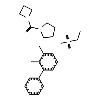 CCS(=O)(=O)N[C@H]1CCN(C(=O)N2CCC2)[C@H]1Cc1cccc(-c2ccccc2)c1F